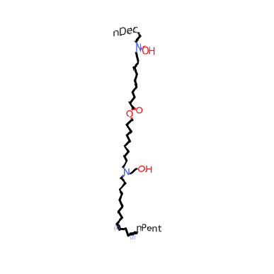 CCCCC/C=C\C/C=C\CCCCCCCCN(CCO)CCCCCCCCCCOC(=O)CCCCCCCCCN(O)CCCCCCCCCCCC